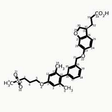 Cc1cc(OCCCS(C)(=O)=O)cc(C)c1-c1cccc(COc2ccc3c(c2)OC[C@H]3CCC(=O)O)c1